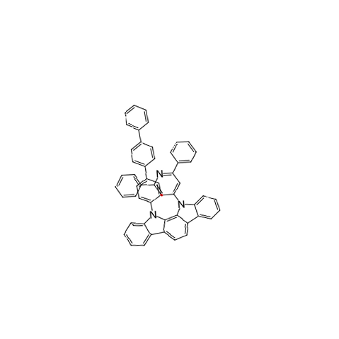 c1ccc(-c2ccc(-c3ccc(-n4c5ccccc5c5ccc6c7ccccc7n(-c7cc(-c8ccccc8)nc(-c8ccccc8)c7)c6c54)cc3)cc2)cc1